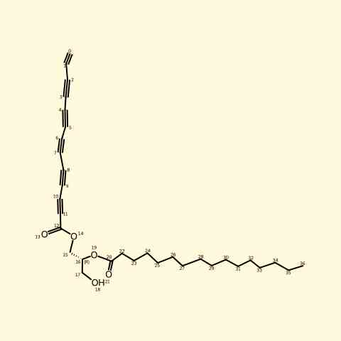 C#CC#CC#CC#CC#CC#CC(=O)OC[C@@H](CO)OC(=O)CCCCCCCCCCCCCCC